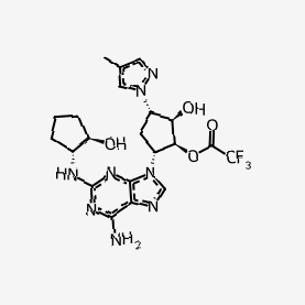 Cc1cnn([C@H]2C[C@@H](n3cnc4c(N)nc(N[C@@H]5CCC[C@H]5O)nc43)[C@H](OC(=O)C(F)(F)F)[C@@H]2O)c1